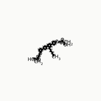 C=C(CO)C(=O)OCCOc1ccc(-c2ccc(-c3ccc(-c4cccc(OCCOC(=O)C(=C)CO)c4)cc3)c(CCCCCCC)c2)cc1